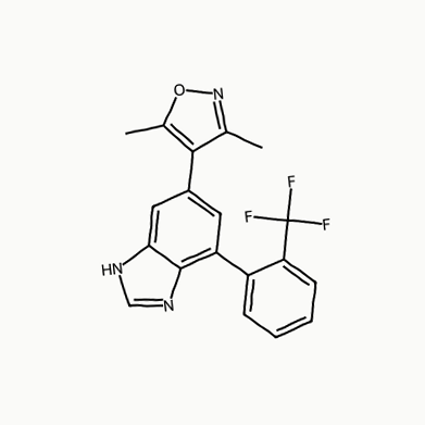 Cc1noc(C)c1-c1cc(-c2ccccc2C(F)(F)F)c2nc[nH]c2c1